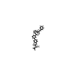 C=C(c1cccc(-c2ccc(CC(=O)NC3CC3)cc2)c1)C1CCCN1C(=O)OCc1ccccc1